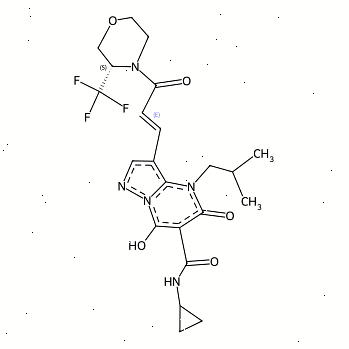 CC(C)Cn1c(=O)c(C(=O)NC2CC2)c(O)n2ncc(/C=C/C(=O)N3CCOC[C@H]3C(F)(F)F)c12